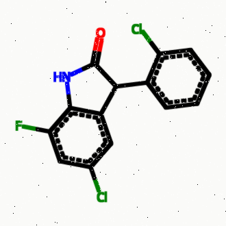 O=C1Nc2c(F)cc(Cl)cc2C1c1ccccc1Cl